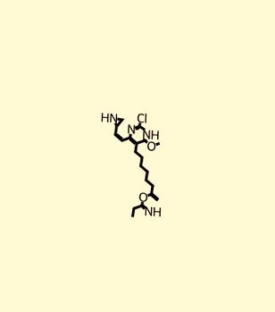 C=C(CCCCCC/C(C(=N)OC)=C(\C=C/C1CN1)/N=C(\C)Cl)OC(=N)CC